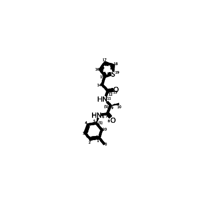 CC1=C[C]=C[C@@H](NC(=O)[C@H](C)NC(=O)Cc2cccs2)C1